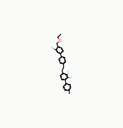 CCOCc1ccc(-c2ccc(CCc3ccc(-c4ccc(C)cc4)c(F)c3F)cc2)cc1F